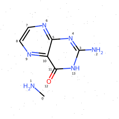 CN.Nc1nc2nccnc2c(=O)[nH]1